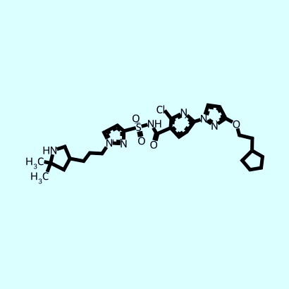 CC1(C)CC(CCCn2ccc(S(=O)(=O)NC(=O)c3ccc(-n4ccc(OCCC5CCCC5)n4)nc3Cl)n2)CN1